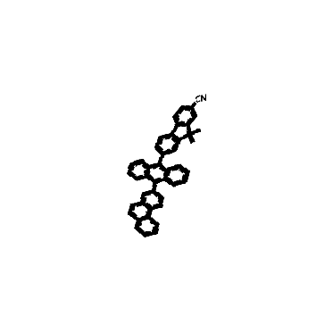 CC1(C)c2cc(C#N)ccc2-c2ccc(-c3c4ccccc4c(-c4ccc5c(ccc6ccccc65)c4)c4ccccc34)cc21